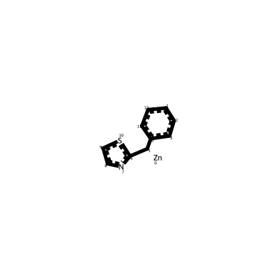 [Zn].c1ccc(Cc2nccs2)cc1